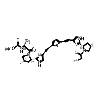 COC(=O)N[C@H](C(=O)N1C[C@@H](C)C[C@H]1c1nc(C#Cc2ccc(C#Cc3c[nH]c([C@@H]4C[C@H](C)CN4C(=O)CC(C)C)n3)s2)c[nH]1)C(C)C